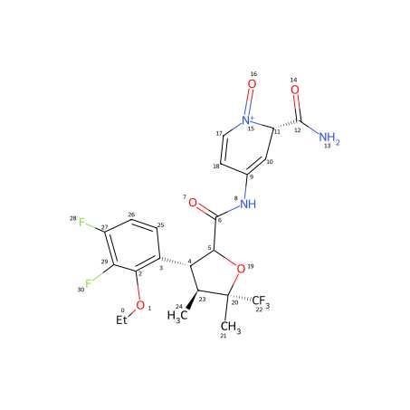 CCOc1c([C@@H]2C(C(=O)NC3=C[C@@H](C(N)=O)[N+](=O)C=C3)O[C@](C)(C(F)(F)F)[C@H]2C)ccc(F)c1F